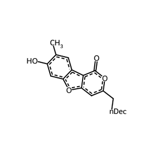 CCCCCCCCCCCc1cc2oc3cc(O)c(C)cc3c2c(=O)o1